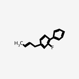 CC=CCc1ccc(-c2ccccc2)c(F)c1